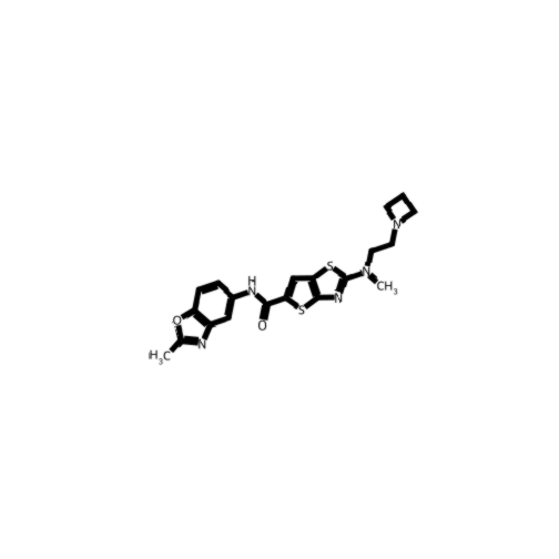 Cc1nc2cc(NC(=O)c3cc4sc(N(C)CCN5CCC5)nc4s3)ccc2o1